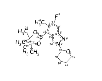 Cc1c(F)cc2nn(C3CCCCO3)cc2c1B1OC(C)(C)C(C)(C)O1